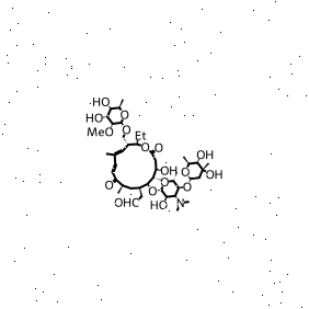 CC[C@H]1OC(=O)C[C@@H](O)[C@H](C)[C@@H](O[C@@H]2O[C@H](C)[C@@H](O[C@H]3C[C@@](C)(O)[C@@H](O)[C@H](C)O3)[C@H](N(C)C)[C@H]2O)[C@@H](CC=O)C[C@@H](C)C(=O)/C=C/C(C)=C/[C@@H]1CO[C@@H]1O[C@H](C)[C@@H](O)[C@@H](O)[C@H]1OC